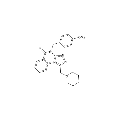 COc1ccc(Cn2c(=O)c3ccccc3n3c(CN4CCCCC4)nnc23)cc1